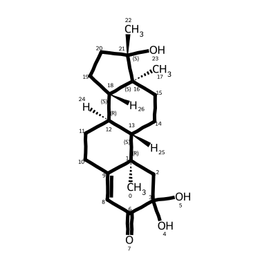 C[C@]12CC(O)(O)C(=O)C=C1CC[C@@H]1[C@@H]2CC[C@@]2(C)[C@H]1CC[C@]2(C)O